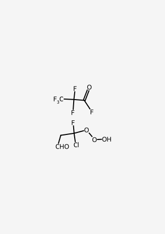 O=C(F)C(F)(F)C(F)(F)F.O=CCC(F)(Cl)OOO